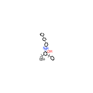 CC(C)(C)CC(C)(C)c1cc(-n2nc3ccc(-c4ccc(-c5ccccc5)cc4)cc3n2)c(O)c(C(C)(C)c2ccccc2)c1